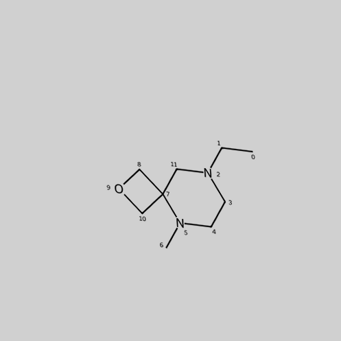 CCN1CCN(C)C2(COC2)C1